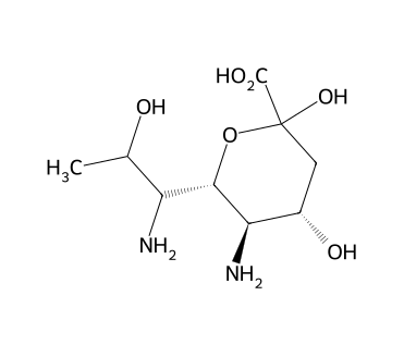 CC(O)C(N)[C@@H]1OC(O)(C(=O)O)C[C@H](O)[C@H]1N